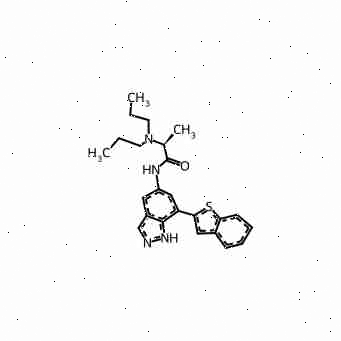 CCCN(CCC)[C@@H](C)C(=O)Nc1cc(-c2cc3ccccc3s2)c2[nH]ncc2c1